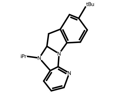 CC(C)N1c2cccnc2N2c3ccc(C(C)(C)C)cc3CC21